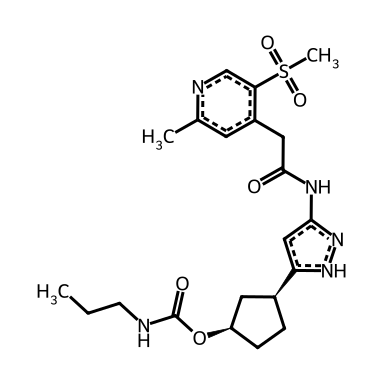 CCCNC(=O)O[C@@H]1CC[C@H](c2cc(NC(=O)Cc3cc(C)ncc3S(C)(=O)=O)n[nH]2)C1